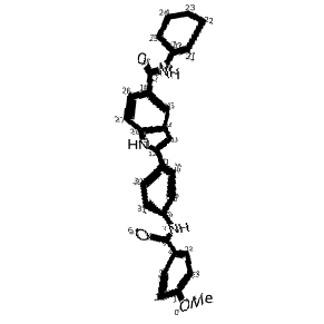 COc1ccc(C(=O)Nc2ccc(-c3cc4cc(C(=O)NC5CCCCC5)ccc4[nH]3)cc2)cc1